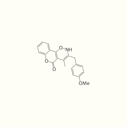 COc1ccc(CC2=C(C)c3c(c4ccccc4oc3=O)ON2)cc1